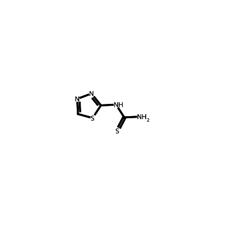 NC(=S)Nc1nncs1